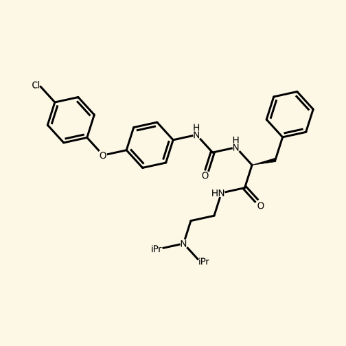 CC(C)N(CCNC(=O)[C@H](Cc1ccccc1)NC(=O)Nc1ccc(Oc2ccc(Cl)cc2)cc1)C(C)C